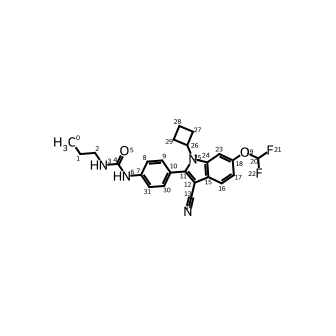 CCCNC(=O)Nc1ccc(-c2c(C#N)c3ccc(OC(F)F)cc3n2C2CCC2)cc1